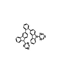 c1ccc(-c2ccc3c(c2)c2ccccc2n3-c2ncncn2)c(-c2ccc3c(c2)-c2ccccc2C3c2ncncn2)c1